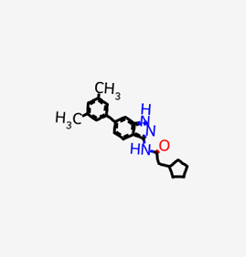 Cc1cc(C)cc(-c2ccc3c(NC(=O)CC4CCCC4)n[nH]c3c2)c1